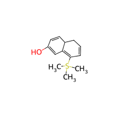 CS(C)(C)C1=C2C=C(O)C=CC2CC=C1